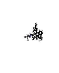 CCn1cc(-c2ccccc2[C@@H]2CN(C(=O)/C=C/CN(C)C)Cc3sc(C#N)cc32)c(C(F)(F)F)n1